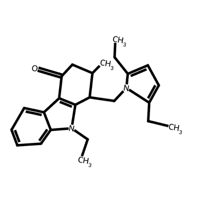 CCc1ccc(CC)n1CC1c2c(c3ccccc3n2CC)C(=O)CC1C